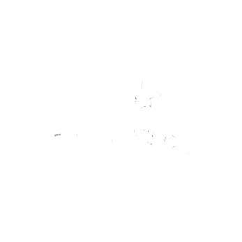 C#CCOCCOCCOCCOC[C@@H]1Cc2cc(OC)ccc2CN1C(=O)CSc1nc(=O)[nH]cc1C